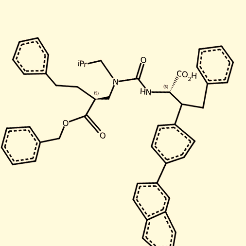 CC(C)CN(C[C@H](CCc1ccccc1)C(=O)OCc1ccccc1)C(=O)N[C@H](C(=O)O)C(Cc1ccccc1)c1ccc(-c2ccc3ccccc3c2)cc1